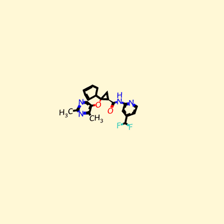 Cc1ncc(O[C@@]2(C3C=CC=CC3)C[C@H]2C(=O)Nc2cc(C(F)F)ccn2)c(C)n1